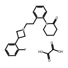 O=C(O)C(=O)O.O=C1CCCCN1c1ccccc1CCN1CC(c2ccccc2F)C1